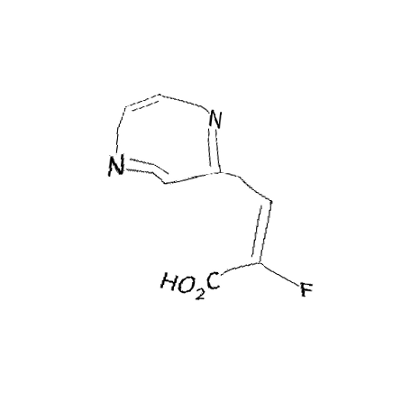 O=C(O)/C(F)=C\c1cnccn1